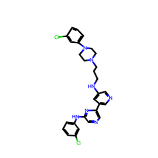 Clc1cccc(Nc2cncc(-c3cncc(NCCCN4CCN(c5cccc(Cl)c5)CC4)c3)n2)c1